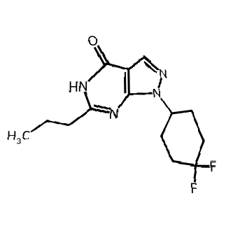 CCCc1nc2c(cnn2C2CCC(F)(F)CC2)c(=O)[nH]1